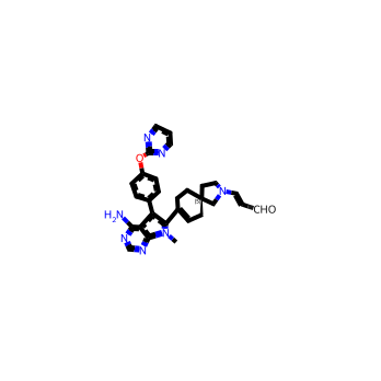 Cn1c(C2=CC[C@@]3(CC2)CCN(C=CC=O)C3)c(-c2ccc(Oc3ncccn3)cc2)c2c(N)ncnc21